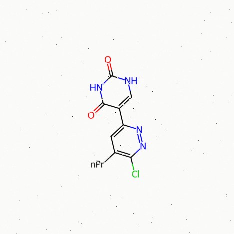 CCCc1cc(-c2c[nH]c(=O)[nH]c2=O)nnc1Cl